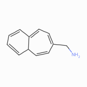 NCC1=CC=C2C=CC=CC2C=C1